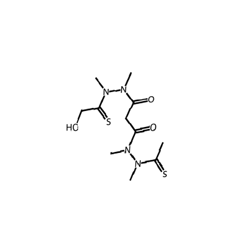 CC(=S)N(C)N(C)C(=O)CC(=O)N(C)N(C)C(=S)CO